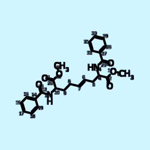 COC(=O)C(CC=CCCC(NC(=O)c1ccccc1)C(=O)OC)NC(=O)c1ccccc1